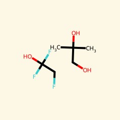 CC(C)(O)CO.OC(F)(F)CF